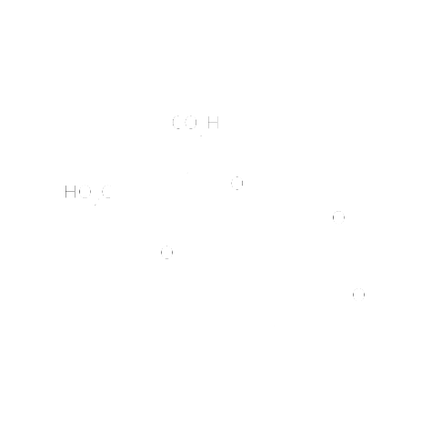 O=C(O)C(=O)C(Oc1ccc2c(c1)OCO2)C(=O)O